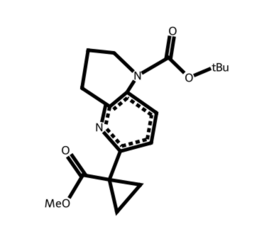 COC(=O)C1(c2ccc3c(n2)CCCN3C(=O)OC(C)(C)C)CC1